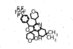 CC1(C)Cc2nc(C3CCOCC3)c3c(c2C(O)C1)C1(CCOCC1)OC3c1ccc(S(F)(F)(F)(F)F)cc1